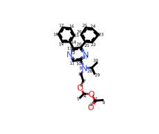 CC(=O)OC(C)OCCN(c1cnc(-c2ccccc2)c(-c2ccccc2)n1)C(C)C